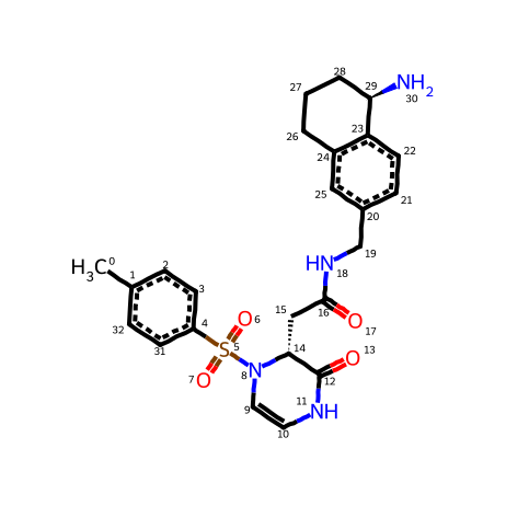 Cc1ccc(S(=O)(=O)N2C=CNC(=O)[C@H]2CC(=O)NCc2ccc3c(c2)CCC[C@H]3N)cc1